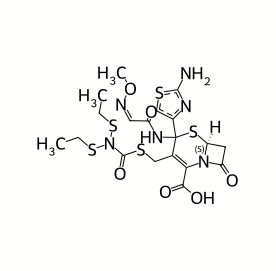 CCSN(SCC)C(=O)SCC1=C(C(=O)O)N2C(=O)C[C@@H]2SC1(NC(=O)C=NOC)c1csc(N)n1